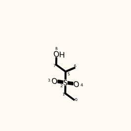 CCS(=O)(=O)C(C)CO